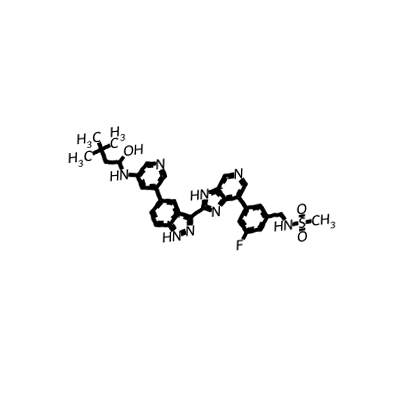 CC(C)(C)CC(O)Nc1cncc(-c2ccc3[nH]nc(-c4nc5c(-c6cc(F)cc(CNS(C)(=O)=O)c6)cncc5[nH]4)c3c2)c1